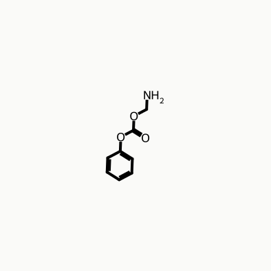 NCOC(=O)Oc1ccccc1